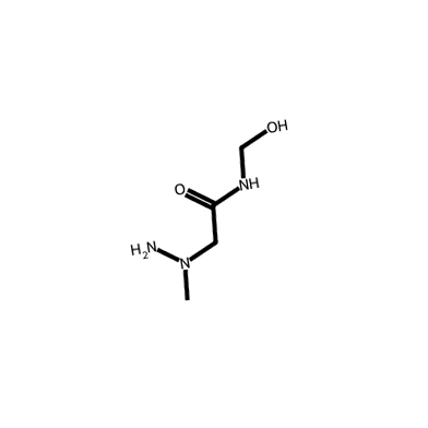 CN(N)CC(=O)NCO